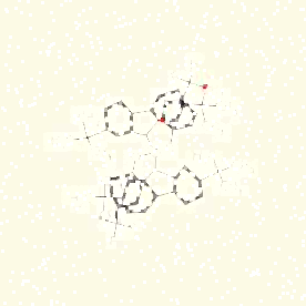 CC(C)(C)c1ccc2c(c1)[CH]([Zr]([O]c1ccc(C(F)(F)F)cc1)([O]c1ccc(C(F)(F)F)cc1)[CH]1c3cc(C(C)(C)C)ccc3-c3ccc(C(C)(C)C)cc31)c1cc(C(C)(C)C)ccc1-2